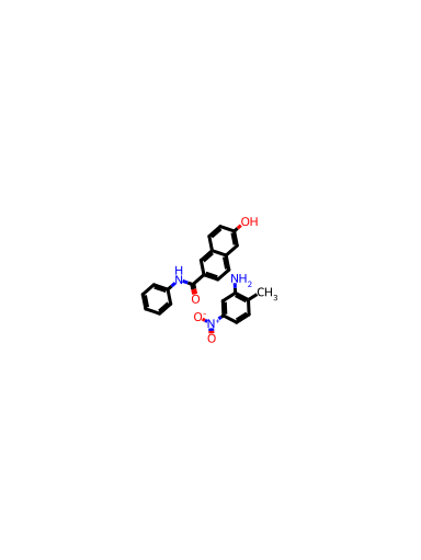 Cc1ccc([N+](=O)[O-])cc1N.O=C(Nc1ccccc1)c1ccc2cc(O)ccc2c1